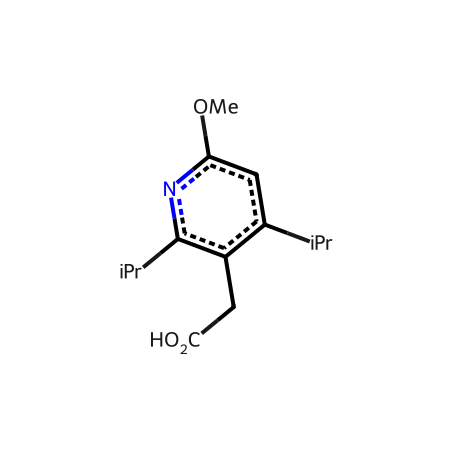 COc1cc(C(C)C)c(CC(=O)O)c(C(C)C)n1